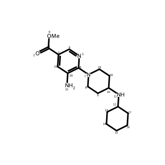 COC(=O)c1cnc(N2CCC(NC3CCCCC3)CC2)c(N)c1